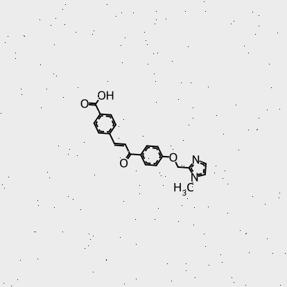 Cn1ccnc1COc1ccc(C(=O)C=Cc2ccc(C(=O)O)cc2)cc1